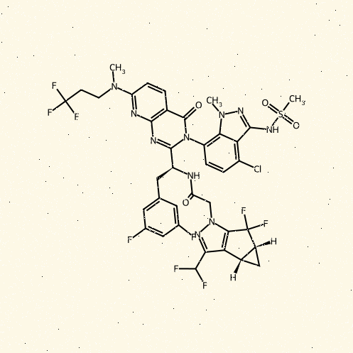 CN(CCC(F)(F)F)c1ccc2c(=O)n(-c3ccc(Cl)c4c(NS(C)(=O)=O)nn(C)c34)c([C@H](Cc3cc(F)cc(F)c3)NC(=O)Cn3nc(C(F)F)c4c3C(F)(F)[C@@H]3C[C@H]43)nc2n1